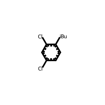 CCC(C)c1ccc(Cl)cc1Cl